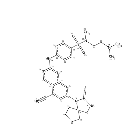 C#Cc1cc(N2C(=O)NCC23CCCC3)nc2nc(Nc3ccc(S(=O)(=O)N(C)CCN(C)C)cc3)ncc12